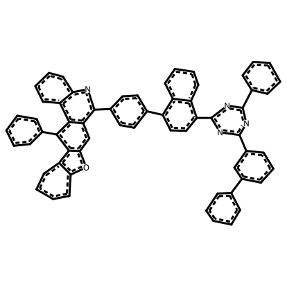 c1ccc(-c2cccc(-c3nc(-c4ccccc4)nc(-c4ccc(-c5ccc(-c6nc7ccccc7c7c(-c8ccccc8)c8c(cc67)oc6ccccc68)cc5)c5ccccc45)n3)c2)cc1